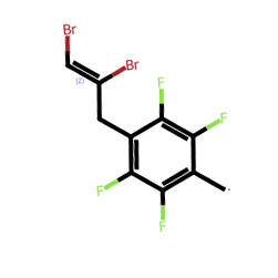 [CH2]c1c(F)c(F)c(C/C(Br)=C/Br)c(F)c1F